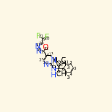 Cc1ccccc1C(C)(C)Nc1ncc(-c2nnc(C(F)F)o2)cn1